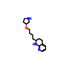 c1cnc2c(c1)CC[C@H](CCCCO[C@@H]1CCNC1)N2